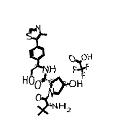 Cc1ncsc1-c1ccc([C@H](CO)NC(=O)[C@@H]2C[C@@H](O)CN2C(=O)[C@@H](N)C(C)(C)C)cc1.O=C(O)C(F)(F)F